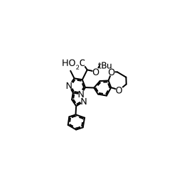 Cc1nc2cc(-c3ccccc3)nn2c(-c2ccc3c(c2)OCCCO3)c1C(OC(C)(C)C)C(=O)O